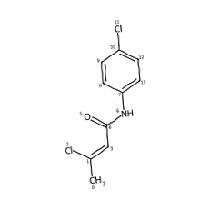 CC(Cl)=CC(=O)Nc1ccc(Cl)cc1